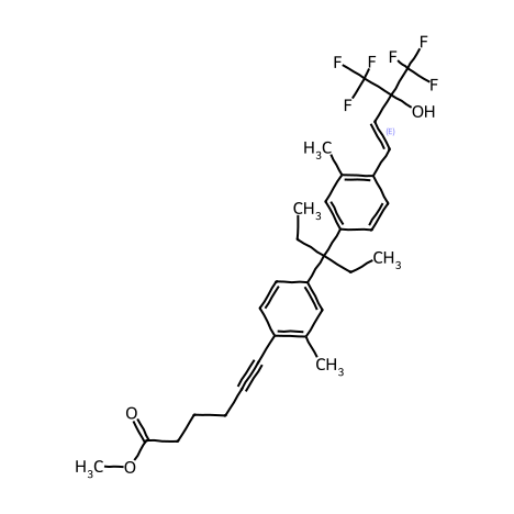 CCC(CC)(c1ccc(C#CCCCC(=O)OC)c(C)c1)c1ccc(/C=C/C(O)(C(F)(F)F)C(F)(F)F)c(C)c1